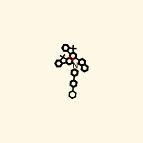 CC1(C)c2ccccc2-c2cc(N(c3ccc(-c4ccc(C5CCCCC5)cc4)cc3)c3c(-c4ccc5c(c4)C(C)(C)c4ccccc4-5)ccc4ccccc34)ccc21